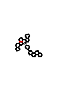 c1ccc(-c2c(N(c3ccc(-c4ccc5ccc6c7ccccc7ccc6c5c4)cc3)c3ccc4ccc5ccccc5c4c3)ccc3ccccc23)cc1